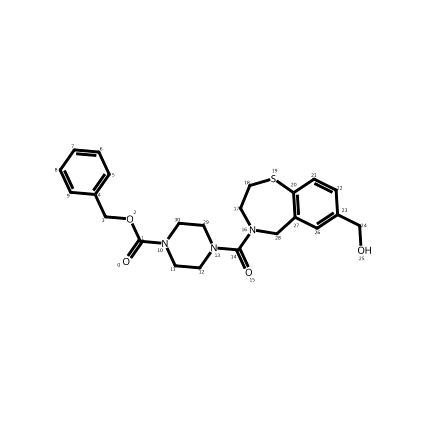 O=C(OCc1ccccc1)N1CCN(C(=O)N2CCSc3ccc(CO)cc3C2)CC1